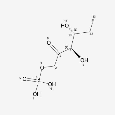 O=C(COP(=O)(O)O)[C@H](O)[C@H](O)CF